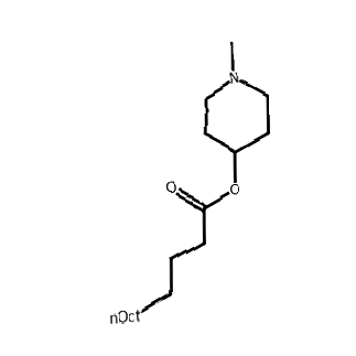 CCCCCCCCCCCC(=O)OC1CCN(C)CC1